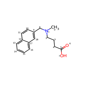 CN(CCCC(=O)O)Cc1ccc2ccccc2c1